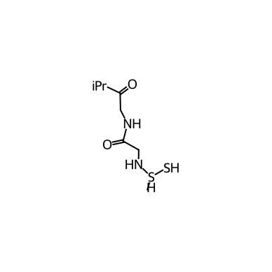 CC(C)C(=O)CNC(=O)CN[SH](C)S